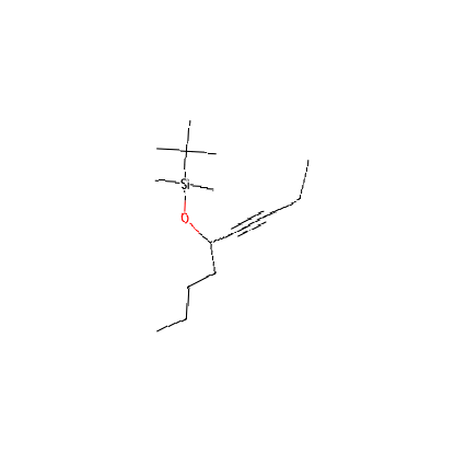 CCC#CC(CCCC)O[Si](C)(C)C(C)(C)C